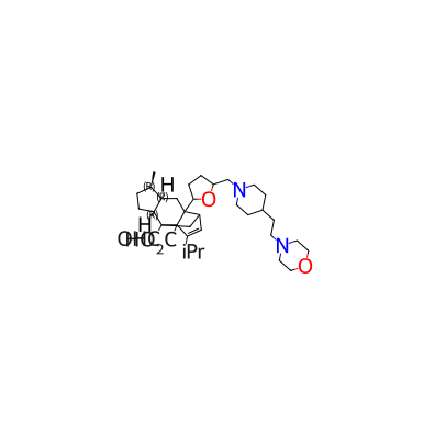 CC(C)C1=CC2CC3(C=O)[C@@H]4CC[C@@H](C)[C@H]4CC2(C2CCC(CN4CCC(CCN5CCOCC5)CC4)O2)C13C(=O)O